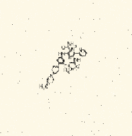 Cc1cc(Nc2nc(NC3CCOCC34CC4)c(-c3ccccn3)nc2C(N)=O)ccc1N1CCC(N2CCN(C)CC2)CC1